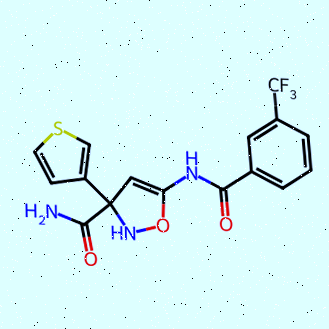 NC(=O)C1(c2ccsc2)C=C(NC(=O)c2cccc(C(F)(F)F)c2)ON1